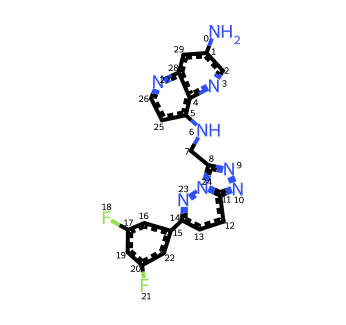 Nc1cnc2c(NCc3nnc4ccc(-c5cc(F)cc(F)c5)nn34)ccnc2c1